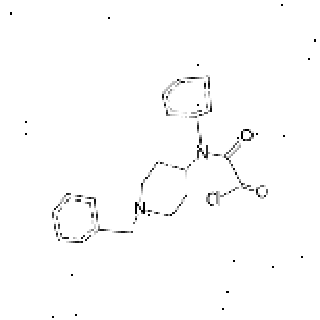 O=C(Cl)C(=O)N(c1ccccc1)C1CCN(Cc2ccccc2)CC1